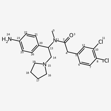 CN(C(=O)Cc1ccc(Cl)c(Cl)c1)C(CN1CCCC1)c1ccc(N)cc1